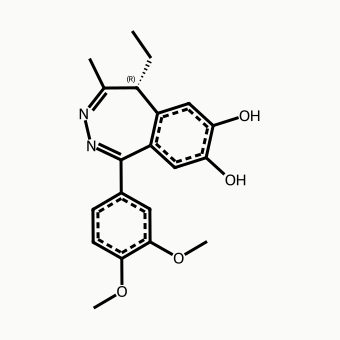 CC[C@H]1C(C)=NN=C(c2ccc(OC)c(OC)c2)c2cc(O)c(O)cc21